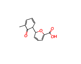 CC1=CC=CC(C2C=CC=C(C(=O)O)O2)C1=O